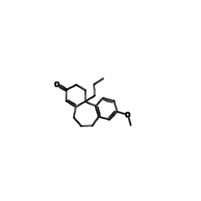 CCCC12CCC(=O)C=C1CCCc1cc(OC)ccc12